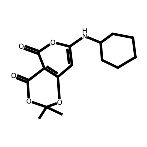 CC1(C)OC(=O)c2c(cc(NC3CCCCC3)oc2=O)O1